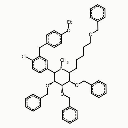 CCOc1ccc(Cc2cc(C3[C@H](OCc4ccccc4)[C@H](OCc4ccccc4)[C@H](OCc4ccccc4)C(CCCCCOCc4ccccc4)N3C)ccc2Cl)cc1